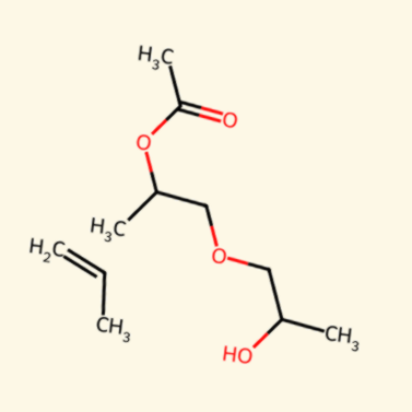 C=CC.CC(=O)OC(C)COCC(C)O